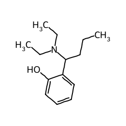 CCCC(c1ccccc1O)N(CC)CC